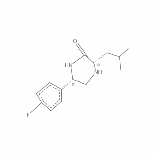 CC(C)C[C@@H]1NC[C@H](c2ccc(F)cc2)NC1=O